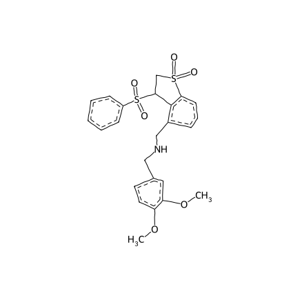 COc1ccc(CNCc2cccc3c2C(S(=O)(=O)c2ccccc2)CS3(=O)=O)cc1OC